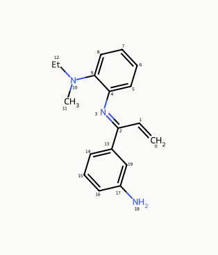 C=C/C(=N\c1ccccc1N(C)CC)c1cccc(N)c1